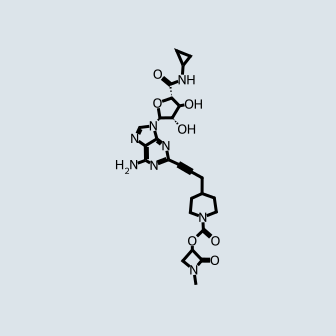 CN1CC(OC(=O)N2CCC(CC#Cc3nc(N)c4ncn([C@@H]5O[C@H](C(=O)NC6CC6)C(O)[C@@H]5O)c4n3)CC2)C1=O